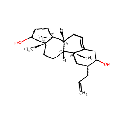 C=CCC1C[C@@]2(C)C(=CC[C@@H]3[C@H]2CC[C@]2(C)C(O)CC[C@@H]32)CC1O